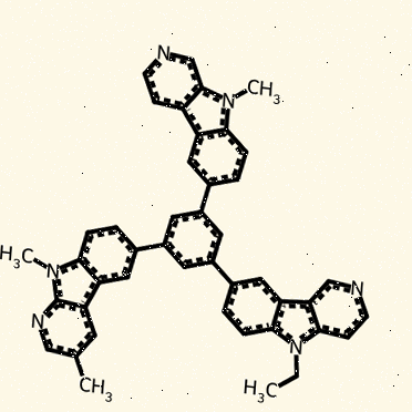 CCn1c2ccncc2c2cc(-c3cc(-c4ccc5c(c4)c4ccncc4n5C)cc(-c4ccc5c(c4)c4cc(C)cnc4n5C)c3)ccc21